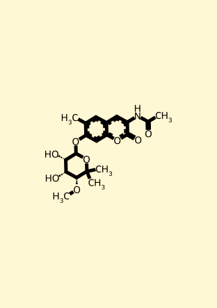 CO[C@@H]1[C@H](O)[C@H](O)C(Oc2cc3oc(=O)c(NC(C)=O)cc3cc2C)OC1(C)C